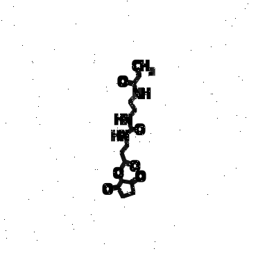 C=CC(=O)NCCNC(=O)NCCC(=O)OC1C(=O)CCC1=O